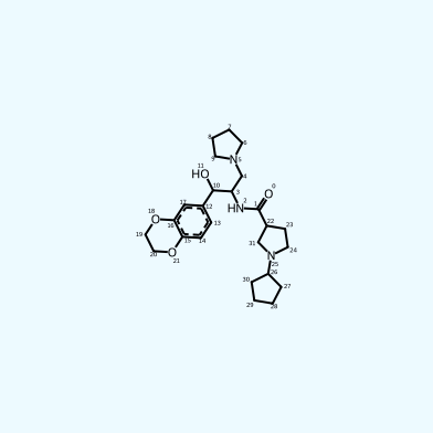 O=C(NC(CN1CCCC1)C(O)c1ccc2c(c1)OCCO2)C1CCN(C2CCCC2)C1